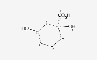 O=C(O)[C@]1(O)CCCC(O)C1